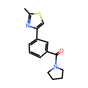 Cc1nc(-c2cccc(C(=O)N3CCCC3)c2)cs1